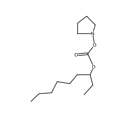 CCCCCCC(CC)OC(=O)ON1CCCC1